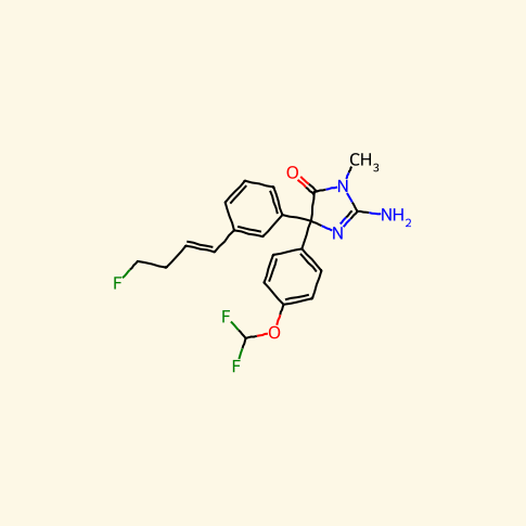 CN1C(=O)C(c2ccc(OC(F)F)cc2)(c2cccc(C=CCCF)c2)N=C1N